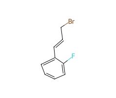 Fc1ccccc1C=CCBr